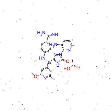 CC(=O)O.COc1cc([C@H](Nc2ccc(C(=N)N)cc2)c2nn(-c3ncccc3N)c(=O)[nH]2)cc(C)n1